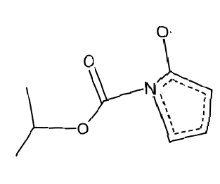 CC(C)OC(=O)n1cccc1[O]